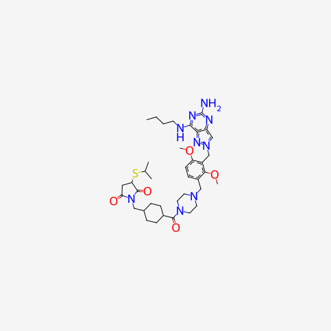 CCCCNc1nc(N)nc2cn(Cc3c(OC)ccc(CN4CCN(C(=O)C5CCC(CN6C(=O)CC(SC(C)C)C6=O)CC5)CC4)c3OC)nc12